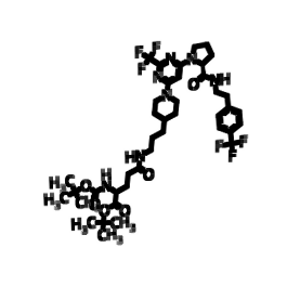 CC(C)(C)OC(=O)NC(CCC(=O)NCCCC1CCN(c2cc(N3CCC[C@H]3C(=O)NCCc3ccc(C(F)(F)F)cc3)nc(C(F)(F)F)n2)CC1)C(=O)OC(C)(C)C